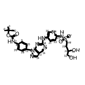 CC(C)(C)OC(=O)Nc1ccc(-n2ncc3cnc(Nc4ccc(NS(=O)(=O)CCC(O)CO)nc4)nc32)cc1